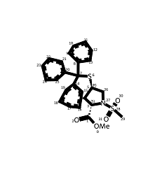 COC(=O)[C@@H]1C[C@@H](SC(c2ccccc2)(c2ccccc2)c2ccccc2)CN1S(C)(=O)=O